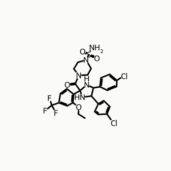 CCOc1cc(C(F)(F)F)ccc1C1(C(=O)N2CCN(S(N)(=O)=O)CC2)NC(c2ccc(Cl)cc2)C(c2ccc(Cl)cc2)N1